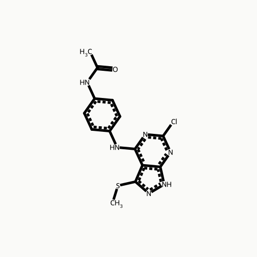 CSc1n[nH]c2nc(Cl)nc(Nc3ccc(NC(C)=O)cc3)c12